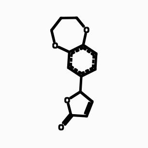 O=C1C=CC(c2ccc3c(c2)OCCCO3)O1